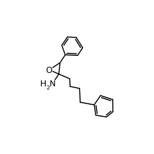 NC1(CCCCc2ccccc2)OC1c1ccccc1